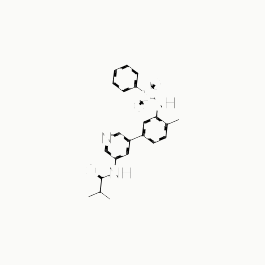 Cc1ccc(-c2cncc(NC(=O)C(C)C)c2)cc1NS(=O)(=O)c1ccccc1